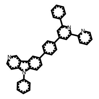 c1ccc(-c2cc(-c3ccc(-c4ccc5c(c4)c4cnccc4n5-c4ccccc4)cc3)cc(-c3ccccn3)n2)cc1